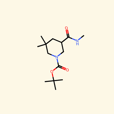 CNC(=O)C1CN(C(=O)OC(C)(C)C)CC(C)(C)C1